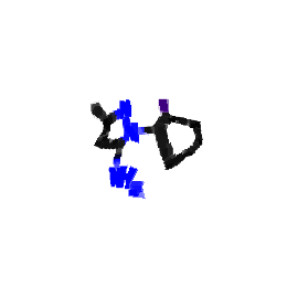 Cc1cc(N)n(-c2ccccc2I)n1